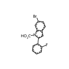 O=C(O)n1c(-c2ccccc2F)cc2ccc(Br)cc21